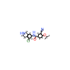 CC(C)Oc1ccc(C(=O)Nc2cc(Cl)c3c(c2)CNCC3)cc1C#N